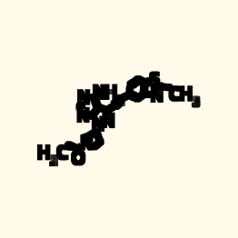 C=CC(=O)N1CCC(n2nc(C#Cc3ccc4sc(CC)nc4c3)c3c(N)ncnc32)C1